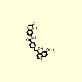 COc1ccc2nccc([C@@H](O)CN3CCC(C(=O)Nc4ccc5c(c4)NC(=O)CS5)CC3)c2c1